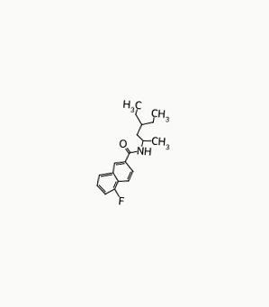 CCC(CC)CC(C)NC(=O)c1ccc2c(F)cccc2c1